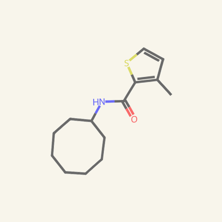 Cc1ccsc1C(=O)NC1CCCCCCC1